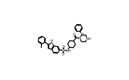 Cc1ccccc1-c1cc2ccc(S(=O)(=O)NC3CCC(C(=O)N4CCNC[C@@H]4c4ccccc4)CC3)cc2[nH]1